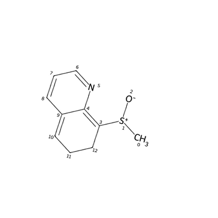 C[S+]([O-])C1=c2ncccc2=CCC1